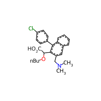 CCCCOC(C(=O)O)c1c(CN(C)C)cc2ccccc2c1-c1ccc(Cl)cc1